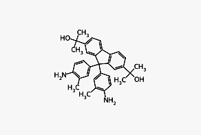 Cc1cc(C2(c3ccc(N)c(C)c3)c3cc(C(C)(C)O)ccc3-c3ccc(C(C)(C)O)cc32)ccc1N